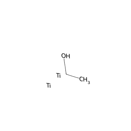 CCO.[Ti].[Ti]